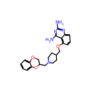 Nc1nc(N)c2c(OCC3CCN(CC4COc5ccccc5O4)CC3)cccc2n1